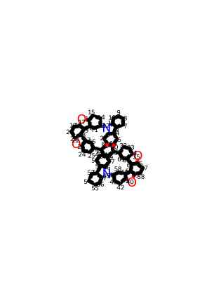 c1ccc2c(c1)c1ccccc1n2-c1ccc2oc3ccc4oc5ccc(-c6ccc(-c7ccc8oc9ccc%10oc%11ccc(-n%12c%13ccccc%13c%13ccccc%13%12)cc%11c%10c9c8c7)cc6)cc5c4c3c2c1